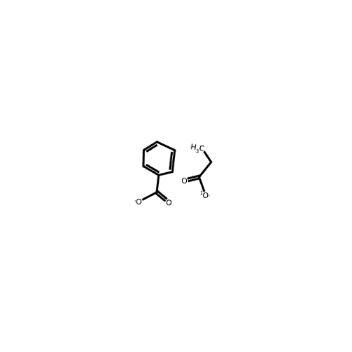 CCC(=O)[1O].[O]C(=O)c1ccccc1